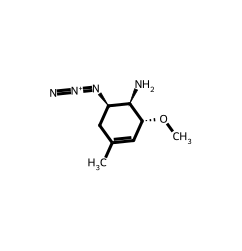 CO[C@@H]1C=C(C)C[C@@H](N=[N+]=[N-])[C@H]1N